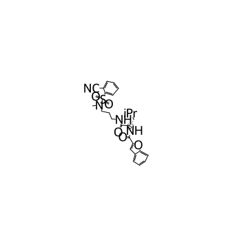 CC(C)C[C@H](NC(=O)c1cc2ccccc2o1)C(=O)NCCCN(C)S(=O)(=O)c1ccccc1C#N